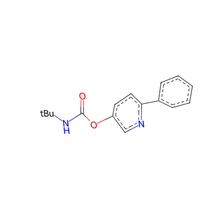 CC(C)(C)NC(=O)Oc1ccc(-c2ccccc2)nc1